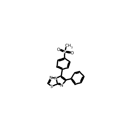 CS(=O)(=O)c1ccc(-c2c(-c3ccccc3)nc3scnn23)cc1